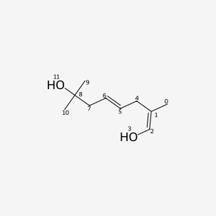 CC(=CO)CC=CCC(C)(C)O